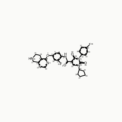 O=C(Nc1ccc(Oc2ncnc3c2CCNC3)cc1F)c1cn(C2CCCC2)c(=O)n(-c2ccc(F)cc2)c1=O